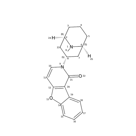 CN1[C@@H]2CCC[C@H]1C[C@H](n1ccc3oc4ccccc4c3c1=O)C2